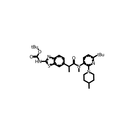 CC1CCN(c2nc(C(C)(C)C)ccc2N(C)C(=O)C(C)c2ccc3nc(NC(=O)OC(C)(C)C)sc3c2)CC1